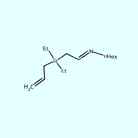 C=CC[Si](CC)(CC)CC=NCCCCCC